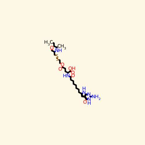 CCCC(C)NC(C=O)CSSCCOC(=O)CCC(NC(=O)CCCCCCCc1cc2c(=O)[nH]c(N)nc2[nH]1)C(=O)O